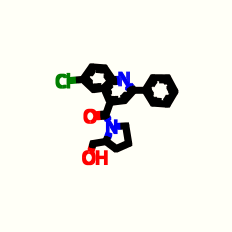 O=C(c1cc(-c2ccccc2)nc2ccc(Cl)cc12)N1CCCC1CO